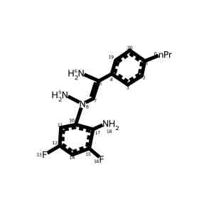 CCCc1ccc(/C(N)=C/N(N)c2cc(F)cc(F)c2N)cc1